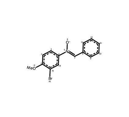 COc1ccc([N+]([O-])=Cc2ccccc2)cc1Br